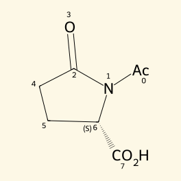 CC(=O)N1C(=O)CC[C@H]1C(=O)O